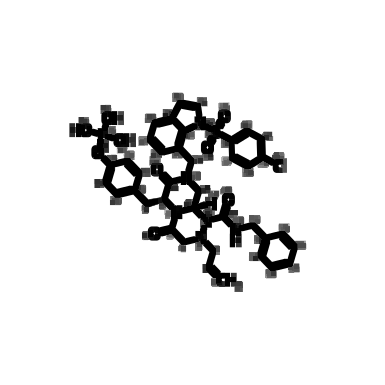 C=CCN1CC(=O)N2[C@@H](Cc3ccc(O[PH](O)(O)O)cc3)C(=O)N(Cc3cccc4ccn(S(=O)(=O)c5ccc(Cl)cc5)c34)C[C@@H]2N1C(=O)NCc1ccccc1